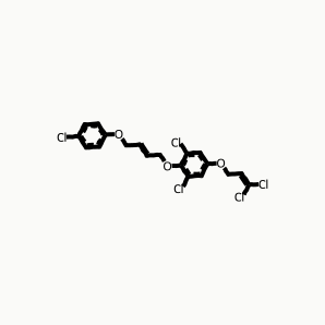 ClC(Cl)=CCOc1cc(Cl)c(OC/C=C/COc2ccc(Cl)cc2)c(Cl)c1